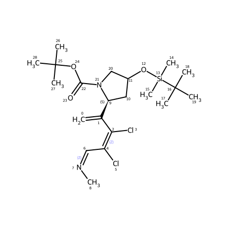 C=C(/C(Cl)=C(Cl)\C=N/C)[C@@H]1CC(O[Si](C)(C)C(C)(C)C)CN1C(=O)OC(C)(C)C